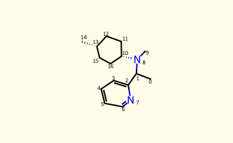 CC(c1ccccn1)N(C)[C@H]1CC[C@@H](C)CC1